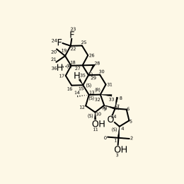 CC(C)(O)[C@@H]1CC[C@@](C)([C@H]2[C@@H](O)C[C@@]3(C)[C@@H]4CC[C@H]5C(C)(C)C(F)(F)CCC56C[C@@]46CC[C@]23C)O1